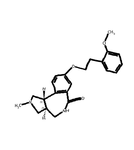 COc1ccccc1CCOc1ccc2c(c1)C(=O)NC[C@H]1CN(C)C[C@H]21